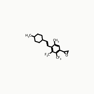 Cc1cc(C2CO2)c(C(F)(F)F)c(C(F)(F)F)c1/C=C/C1CCC(C)CC1